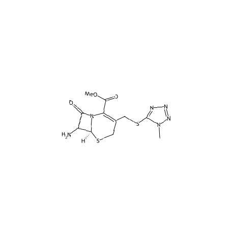 COC(=O)C1=C(CSc2nnnn2C)CS[C@H]2C(N)C(=O)N12